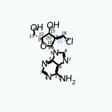 Nc1ncnc2c1ncn2[C@@H]1O[C@H](CO)[C@@H](O)/C1=C/Cl